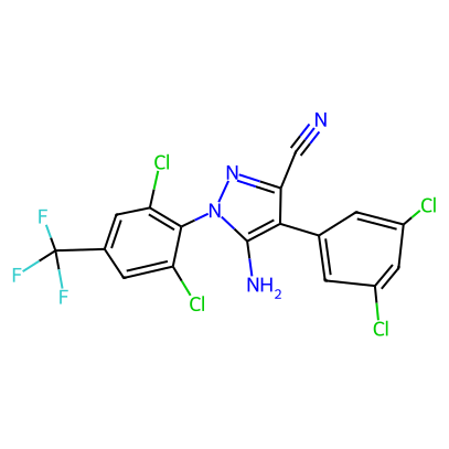 N#Cc1nn(-c2c(Cl)cc(C(F)(F)F)cc2Cl)c(N)c1-c1cc(Cl)cc(Cl)c1